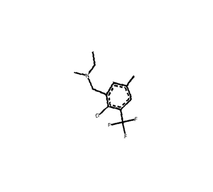 CCN(C)Cc1cc(C)cc(C(F)(F)F)c1Cl